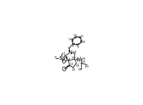 C[SiH](C)O[C@@]12CN(Cc3ccccc3)C[C@@H]1[C@H](C(C)(C)C)CC2=O